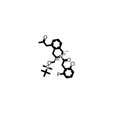 CC(=O)Cc1cccc2c1C[C@H](CO[Si](C)(C)C(C)(C)C)N(C(=O)Cc1c(F)cccc1Cl)[C@H]2C